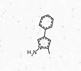 Cc1cc(-c2ccccc2)cn1N